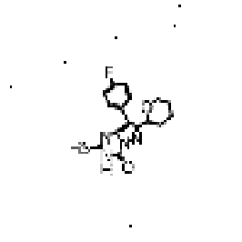 O=c1[nH]c(S)nc2c(-c3ccc(F)cc3)c(C3CCCCO3)nn12